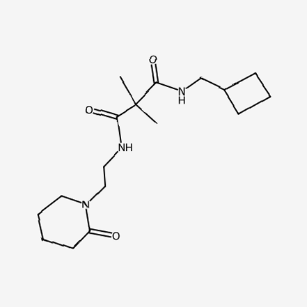 CC(C)(C(=O)NCCN1CCCCC1=O)C(=O)NCC1CCC1